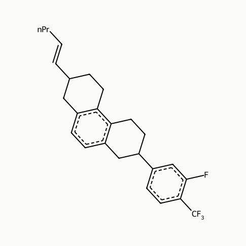 CCCC=CC1CCc2c(ccc3c2CCC(c2ccc(C(F)(F)F)c(F)c2)C3)C1